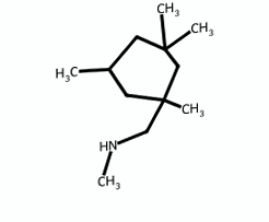 CNCC1(C)CC(C)CC(C)(C)C1